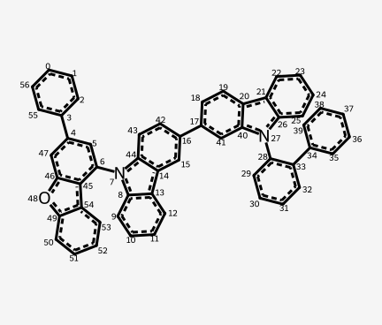 c1ccc(-c2cc(-n3c4ccccc4c4cc(-c5ccc6c7ccccc7n(-c7ccccc7-c7ccccc7)c6c5)ccc43)c3c(c2)oc2ccccc23)cc1